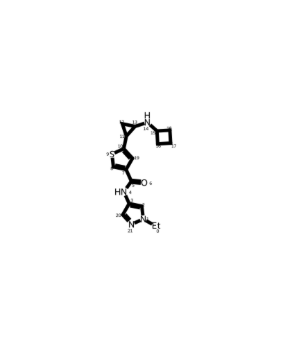 CCn1cc(NC(=O)c2csc(C3CC3NC3CCC3)c2)cn1